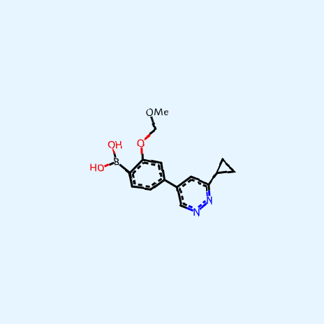 COCOc1cc(-c2cnnc(C3CC3)c2)ccc1B(O)O